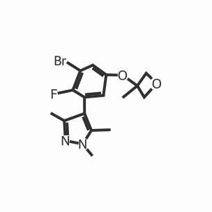 Cc1nn(C)c(C)c1-c1cc(OC2(C)COC2)cc(Br)c1F